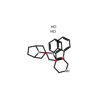 Cl.Cl.c1ccc(C2(CCN3C4CCC3CC(n3cnc5ccccc53)C4)CCNCC2)cc1